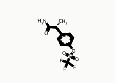 C[C@@H](C(N)=O)c1ccc(OS(=O)(=O)C(F)(F)F)cc1